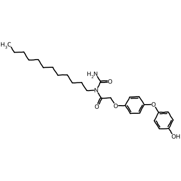 CCCCCCCCCCCCN(C(N)=O)C(=O)COc1ccc(Oc2ccc(O)cc2)cc1